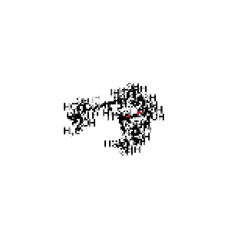 CO[C@H]1OC(CO)C(O[C@H]2OC(CNC(=S)NCCN(CCNC(=S)NCC3O[C@H](OC4C(CO)O[C@H](OC)C(O)[C@H]4O)C(O)[C@@H](O)C3C)CCNC(=S)NC(COCCCS[C@@H]3OC(CO)[C@@H](O)[C@H](O)C3O)(COCCCS[C@@H]3OC(CO)[C@@H](O)[C@H](O)C3O)COCCCS[C@@H]3OC(CO)[C@@H](O)[C@H](O)C3O)C(C)[C@H](O)C2O)[C@H](O)C1O